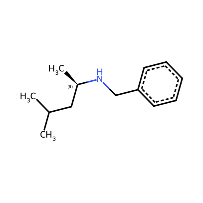 CC(C)C[C@@H](C)NCc1ccccc1